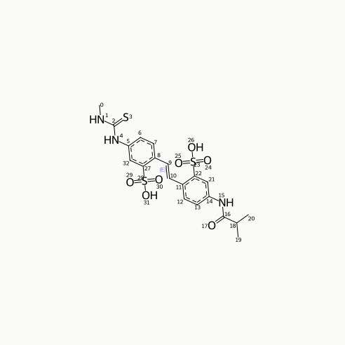 CNC(=S)Nc1ccc(/C=C/c2ccc(NC(=O)C(C)C)cc2S(=O)(=O)O)c(S(=O)(=O)O)c1